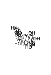 CC(C)c1cc(-c2nnc(O)n2-c2ccc(CN3CCN(S(=O)(=O)N4CCNCC4)CC3)cc2)c(O)cc1O.Cl